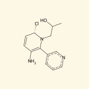 CC(O)CN1C(c2cccnc2)=C(N)C=C[C@@H]1Cl